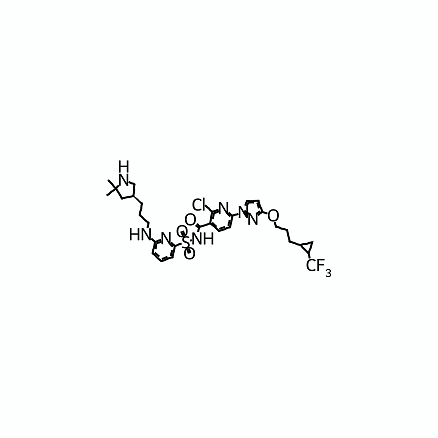 CC1(C)C[C@H](CCCNc2cccc(S(=O)(=O)NC(=O)c3ccc(-n4ccc(OCCCC5CC5C(F)(F)F)n4)nc3Cl)n2)CN1